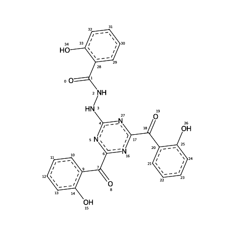 O=C(NNc1nc(C(=O)c2ccccc2O)nc(C(=O)c2ccccc2O)n1)c1ccccc1O